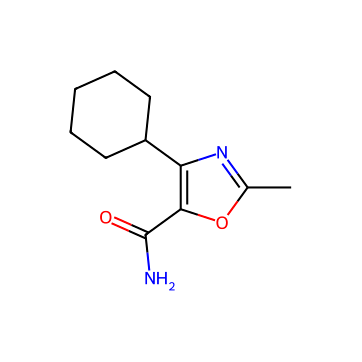 Cc1nc(C2CCCCC2)c(C(N)=O)o1